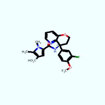 Cc1c(C(=O)O)cc(C(=O)N[C@]2(c3ccc(OC(F)(F)F)c(F)c3)CCOc3cccnc32)n1C